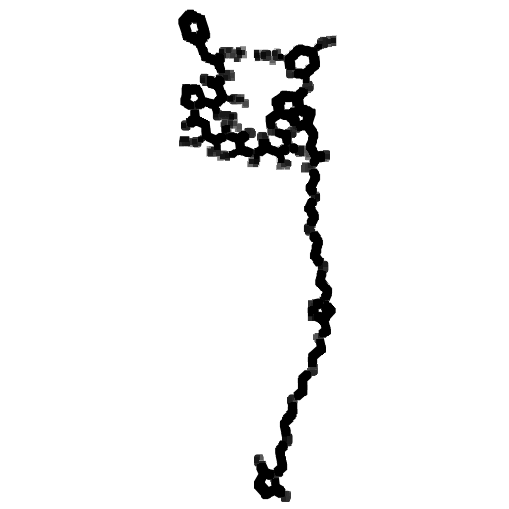 CCC(C)[C@@H]([C@@H](CC(=O)N1CCC[C@H]1[C@H](OC)[C@@H](C)C(=O)NC(Cc1ccccc1)C(=O)O)OC)N(C)C(=O)[C@@H](NC(=O)[C@H](C(C)C)N(C)C(=O)OCc1ccc(O[C@H]2C[C@@H](O)C[C@@H](C(=O)O)O2)c2cc(CCC(=O)NCCOCCOCCOCCn3cc(COCCOCCOCCOCCN4C(=O)C=CC4=O)nn3)sc12)C(C)C